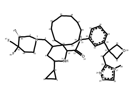 C[C@@H]1CN(CC2CC(C3CC3)NC(C(=O)Nc3cccc(C4(Cc5nncn5C)COC4)c3)C23CCCCCCCCC3)CCC1(F)F